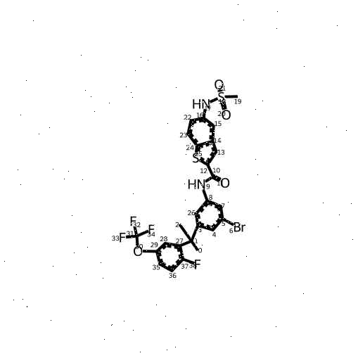 CC(C)(c1cc(Br)cc(NC(=O)c2cc3cc(NS(C)(=O)=O)ccc3s2)c1)c1cc(OC(F)(F)F)ccc1F